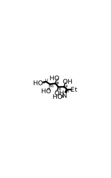 CCC(=NO)[C@H](O)[C@@H](O)[C@H](O)[C@H](O)CO